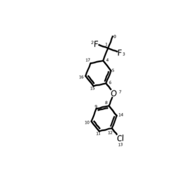 CC(F)(F)C1C=C(Oc2cccc(Cl)c2)C=CC1